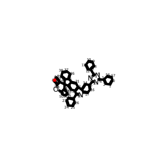 c1ccc(-c2nc(-c3ccccc3)nc(-c3ccc4nc(-c5ccccc5)c5cc6c(cc5c4c3)-c3ccccc3C63c4ccccc4Oc4ccccc43)n2)cc1